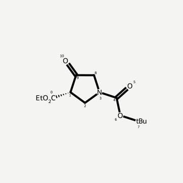 CCOC(=O)[C@H]1CN(C(=O)OC(C)(C)C)CC1=O